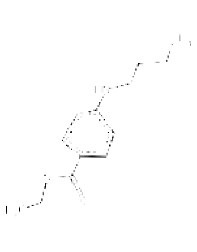 CCCCNc1ccc(C(=O)NCC)cc1